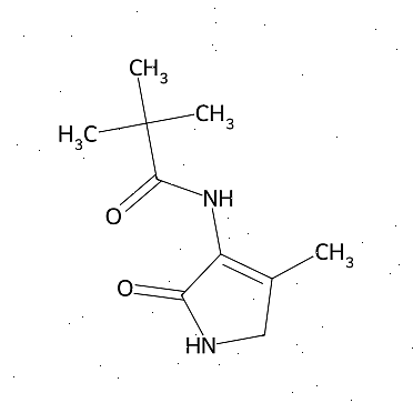 CC1=C(NC(=O)C(C)(C)C)C(=O)NC1